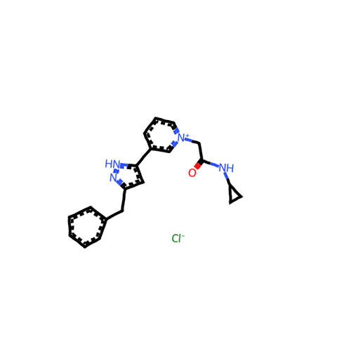 O=C(C[n+]1cccc(-c2cc(Cc3ccccc3)n[nH]2)c1)NC1CC1.[Cl-]